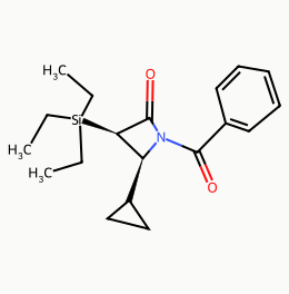 CC[Si](CC)(CC)[C@H]1C(=O)N(C(=O)c2ccccc2)[C@H]1C1CC1